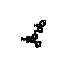 CC(=O)c1cn2c(cc(-c3ccccc3)c3ccc(Sc4cccc(C5(O)CCOCC5)c4)cc32)n1